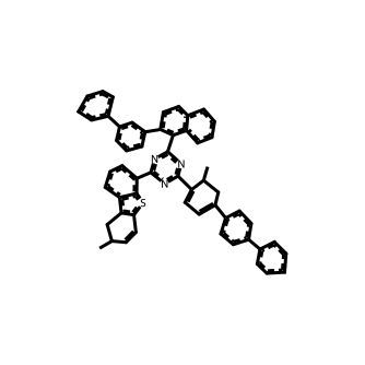 CC1C=Cc2sc3c(-c4nc(C5=CC=C(c6ccc(-c7ccccc7)cc6)CC5C)nc(-c5c(-c6cccc(-c7ccccc7)c6)ccc6ccccc56)n4)cccc3c2C1